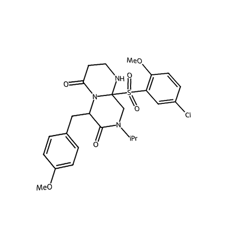 COc1ccc(CC2C(=O)N(C(C)C)CC3(S(=O)(=O)c4cc(Cl)ccc4OC)NCCC(=O)N23)cc1